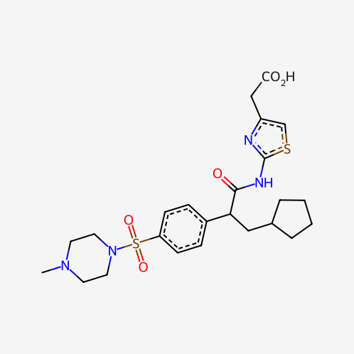 CN1CCN(S(=O)(=O)c2ccc(C(CC3CCCC3)C(=O)Nc3nc(CC(=O)O)cs3)cc2)CC1